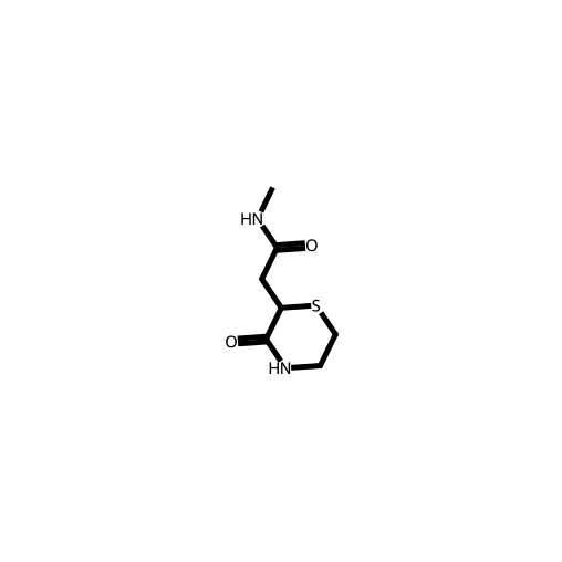 CNC(=O)CC1SCCNC1=O